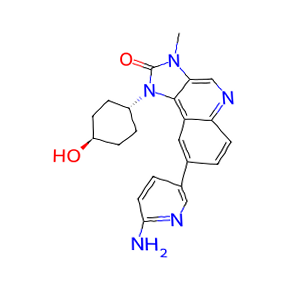 Cn1c(=O)n([C@H]2CC[C@H](O)CC2)c2c3cc(-c4ccc(N)nc4)ccc3ncc21